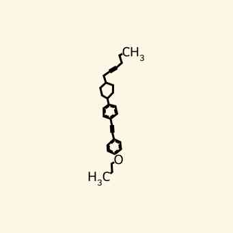 CCCC#CCC1CCC(c2ccc(C#Cc3ccc(OCCC)cc3)cc2)CC1